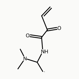 [CH2]C(NC(=O)C(=O)C=C)N(C)C